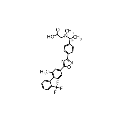 Cc1cc(-c2nc(-c3ccc([C@H](C)N(C)CC(=O)O)cc3)no2)ccc1-c1ccccc1C(F)(F)F